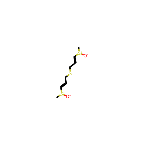 C[S+]([O-])C=CCSCC=C[S+](C)[O-]